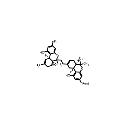 CCCCCc1cc(O)c2c(c1)OC(C)(C)[C@@H]1CC=C(CCC3(C)Oc4cc(CCC)cc(O)c4[C@@H]4C=C(C)CC[C@]43O)C[C@@H]21